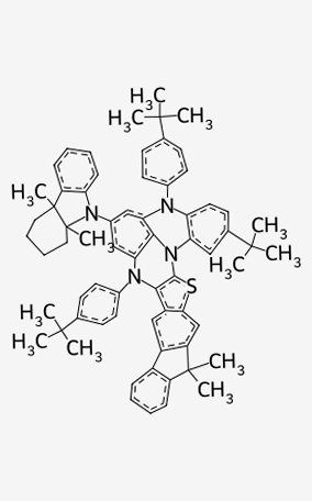 CC(C)(C)c1ccc(N2c3ccc(C(C)(C)C)cc3N3c4sc5cc6c(cc5c4N(c4ccc(C(C)(C)C)cc4)c4cc(N5c7ccccc7C7(C)CCCCC57C)cc2c43)-c2ccccc2C6(C)C)cc1